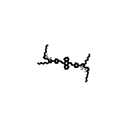 CCCCCCc1ccc(-c2sc(-c3ccc(/C=C/c4c5ccccc5c(/C=C/c5ccc(-c6cc(CCCCCC)c(-c7ccc(CCCCCC)s7)s6)cc5)c5ccccc45)cc3)cc2CCCCCC)s1